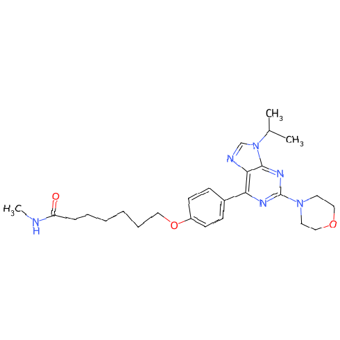 CNC(=O)CCCCCCOc1ccc(-c2nc(N3CCOCC3)nc3c2ncn3C(C)C)cc1